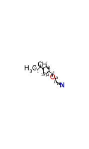 CCC(C)c1ccc(COCCC#N)cc1